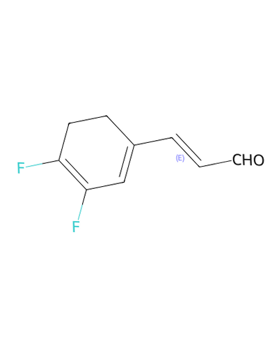 O=C/C=C/C1=CC(F)=C(F)CC1